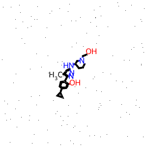 Cc1cc(NC2CCCN(CCO)C2)nnc1-c1ccc(C2CC2)cc1O